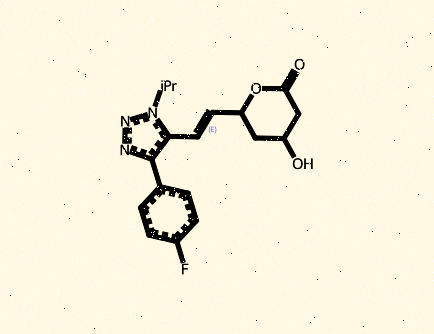 CC(C)n1nnc(-c2ccc(F)cc2)c1/C=C/C1CC(O)CC(=O)O1